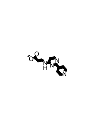 COC(=O)C=CNc1ccnc(-c2ccncc2)n1